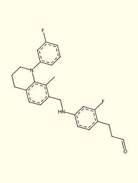 Cc1c(CNc2ccc(CCC=O)c(F)c2)ccc2c1N(c1cccc(F)c1)CCC2